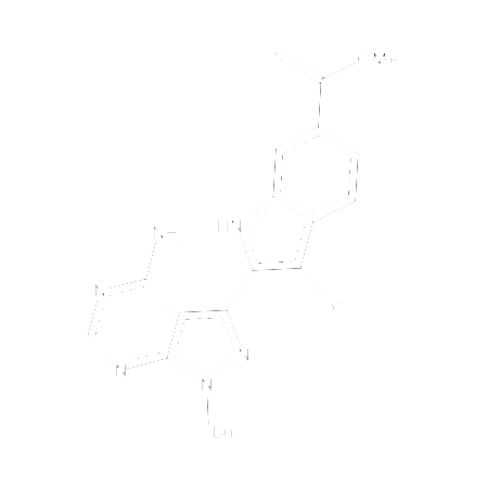 COC(=O)c1ccc2c(Br)c(-c3nn(C(C)(C)C)c4ncnc(N)c34)[nH]c2c1